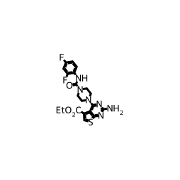 CCOC(=O)c1csc2nc(N)nc(N3CCN(C(=O)Nc4ccc(F)cc4F)CC3)c12